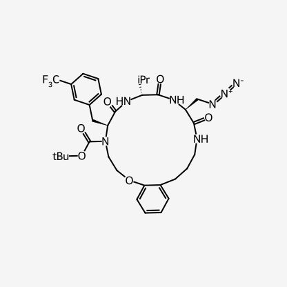 CC(C)[C@H]1NC(=O)[C@H](Cc2cccc(C(F)(F)F)c2)N(C(=O)OC(C)(C)C)CCOc2ccccc2CCCNC(=O)[C@H](CN=[N+]=[N-])NC1=O